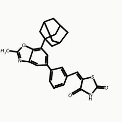 Cc1nc2cc(-c3cccc(/C=C4/SC(=O)NC4=O)c3)cc(C34CC5CC(CC(C5)C3)C4)c2o1